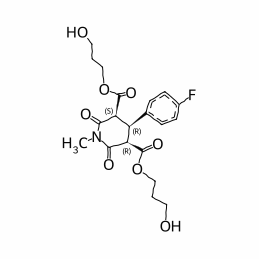 CN1C(=O)[C@@H](C(=O)OCCCO)[C@@H](c2ccc(F)cc2)[C@@H](C(=O)OCCCO)C1=O